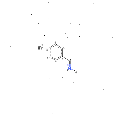 C/N=C/c1ccc(C(C)C)cc1